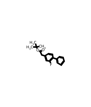 CC(C)(C)OC(=O)Cc1ccc(-c2ccccc2)c(F)c1